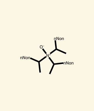 CCCCCCCCCC(C)[N+]([O-])(C(C)CCCCCCCCC)C(C)CCCCCCCCC